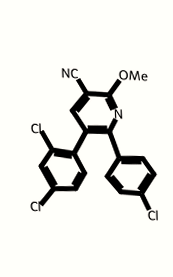 COc1nc(-c2ccc(Cl)cc2)c(-c2ccc(Cl)cc2Cl)cc1C#N